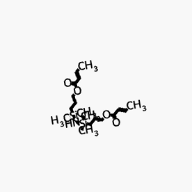 CC=CC(=O)OCCC[Si](C)(C)N[Si](C)(C)CCCOC(=O)C=CC